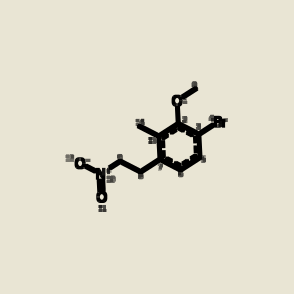 COc1c(Br)ccc(CC[N+](=O)[O-])c1C